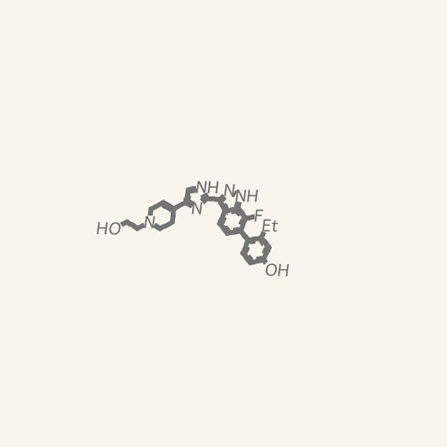 CCc1cc(O)ccc1-c1ccc2c(-c3nc(C4=CCN(CCO)CC4)c[nH]3)n[nH]c2c1F